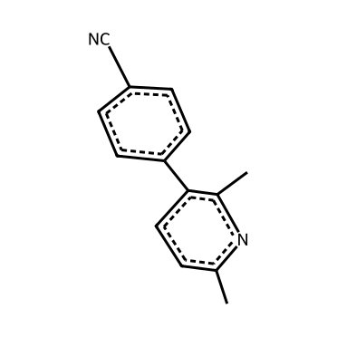 Cc1ccc(-c2ccc(C#N)cc2)c(C)n1